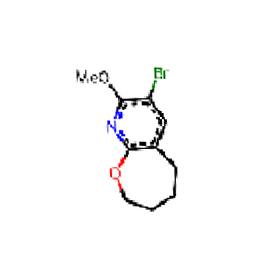 COc1nc2c(cc1Br)CCCCO2